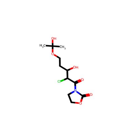 CC(C)(O)OCCC(O)C(Cl)C(=O)N1CCOC1=O